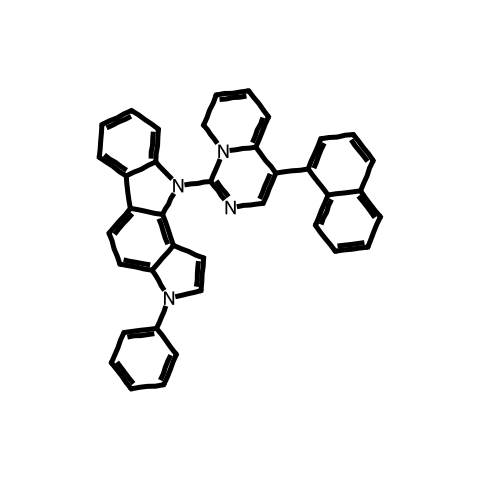 C1=CCN2C(=C1)C(c1cccc3ccccc13)=CN=C2n1c2ccccc2c2ccc3c(ccn3-c3ccccc3)c21